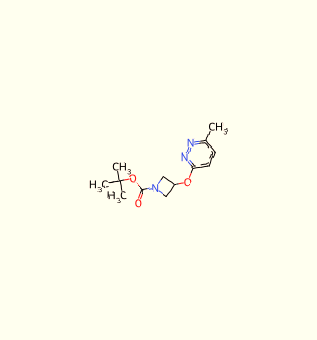 Cc1ccc(OC2CN(C(=O)OC(C)(C)C)C2)nn1